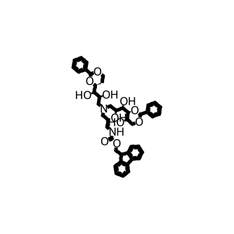 O=C(NCCCN(C[C@H](O)[C@@H](O)[C@H]1CCOC(c2ccccc2)O1)C[C@H](O)[C@@H](O)[C@@H]1OC(c2ccccc2)OC[C@H]1O)OCC1c2ccccc2-c2ccccc21